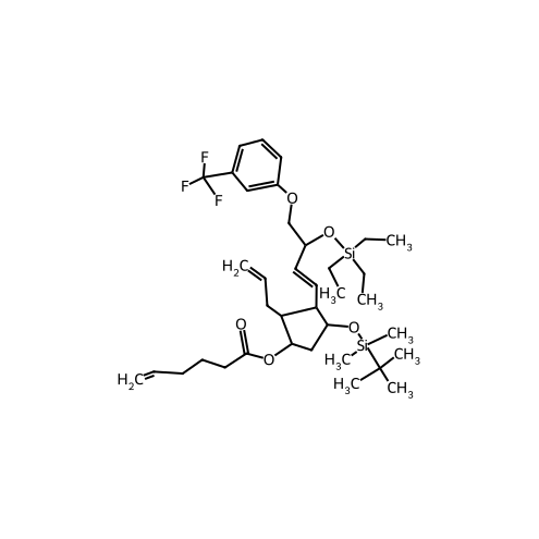 C=CCCCC(=O)OC1CC(O[Si](C)(C)C(C)(C)C)C(C=CC(COc2cccc(C(F)(F)F)c2)O[Si](CC)(CC)CC)C1CC=C